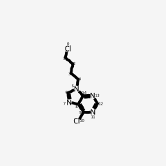 ClCCCCn1cnc2c(Cl)ncnc21